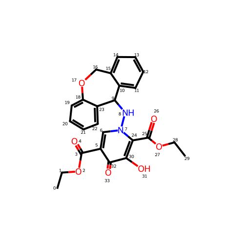 CCOC(=O)c1cn(NC2c3ccccc3COc3ccccc32)c(C(=O)OCC)c(O)c1=O